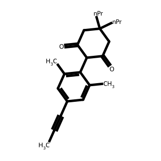 CC#Cc1cc(C)c(C2C(=O)CC(CCC)(CCC)CC2=O)c(C)c1